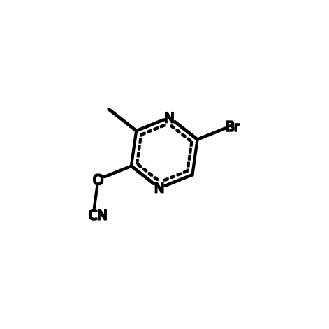 Cc1nc(Br)cnc1OC#N